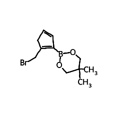 CC1(C)COB(C2=C(CBr)CC=C2)OC1